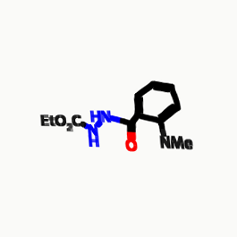 CCOC(=O)NNC(=O)c1ccccc1NC